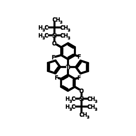 CC(C)(C)[Si](C)(C)Oc1ccc(F)[c]([Ti]([C]2=CC=CC2)([C]2=CC=CC2)[c]2c(F)ccc(O[Si](C)(C)C(C)(C)C)c2F)c1F